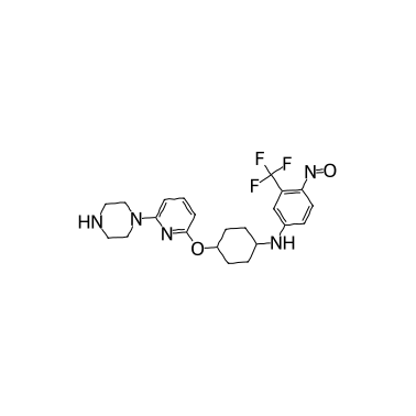 O=Nc1ccc(NC2CCC(Oc3cccc(N4CCNCC4)n3)CC2)cc1C(F)(F)F